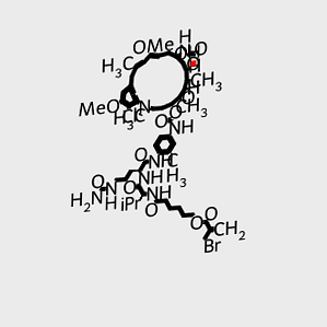 C=C(CBr)C(=O)OCCCCCC(=O)N[C@H](C(=O)N[C@@H](CCCNC(N)=O)C(=O)Nc1ccc(NC(=O)O[C@H]2CCN(C)c3cc(cc(OC)c3Cl)C/C(C)=C/C=C/[C@@H](OC)[C@@]3(O)C[C@H](OC(=O)N3)[C@@H](C)[C@@H]3O[C@@]23C)cc1C)C(C)C